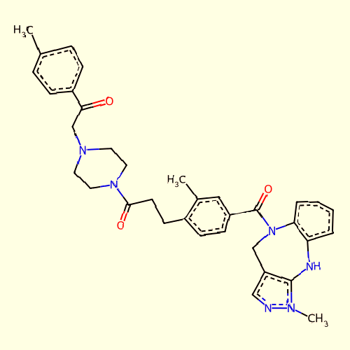 Cc1ccc(C(=O)CN2CCN(C(=O)CCc3ccc(C(=O)N4Cc5cnn(C)c5Nc5ccccc54)cc3C)CC2)cc1